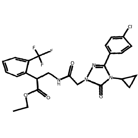 CCOC(=O)C(CNC(=O)Cn1nc(-c2ccc(Cl)cc2)n(C2CC2)c1=O)c1ccccc1C(F)(F)F